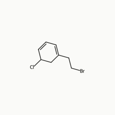 ClC1C=CC=C(CCBr)C1